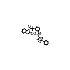 Cc1oc(-c2ccccc2)nc1COc1cccc(C(C)(C)C(=O)N2c3ccccc3C[C@@H]2C(=O)O)c1